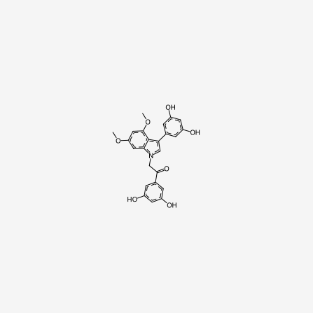 COc1cc(OC)c2c(-c3cc(O)cc(O)c3)cn(CC(=O)c3cc(O)cc(O)c3)c2c1